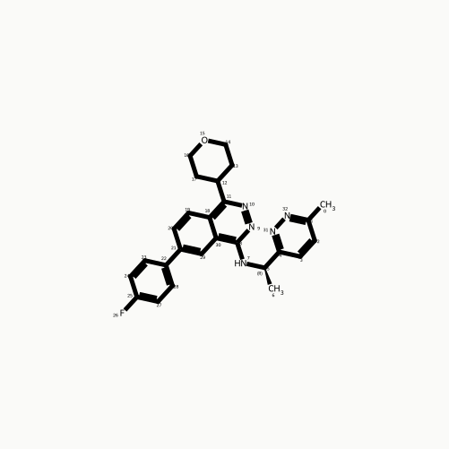 Cc1ccc([C@@H](C)Nc2nnc(C3CCOCC3)c3ccc(-c4ccc(F)cc4)cc23)nn1